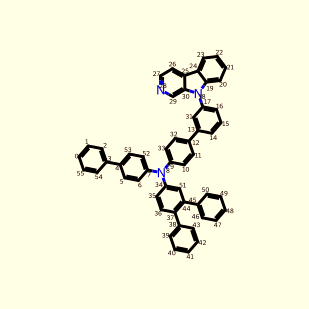 c1ccc(-c2ccc(N(c3ccc(-c4cccc(-n5c6ccccc6c6ccncc65)c4)cc3)c3ccc(-c4ccccc4)c(-c4ccccc4)c3)cc2)cc1